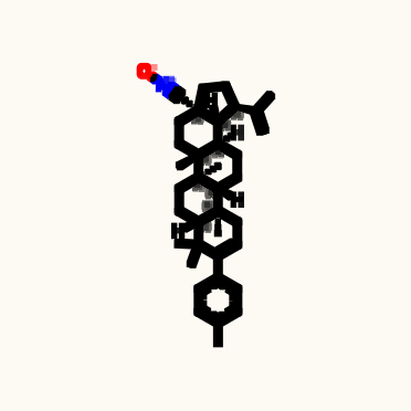 C=C(C)[C@@H]1CC[C@]2(C#[N+][O-])CC[C@]3(C)[C@H](CC[C@@H]4[C@@]5(C)CC=C(c6ccc(C)cc6)C(C)(C)[C@@H]5CC[C@]43C)[C@@H]12